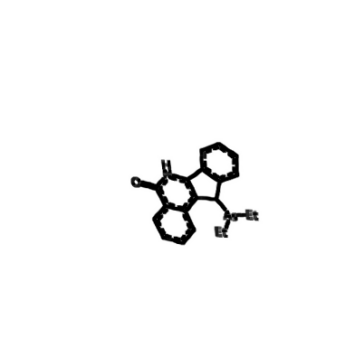 CC[As](CC)C1c2ccccc2-c2[nH]c(=O)c3ccccc3c21